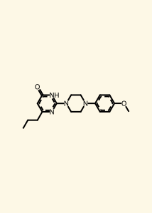 CCCc1cc(=O)[nH]c(N2CCN(c3ccc(OC)cc3)CC2)n1